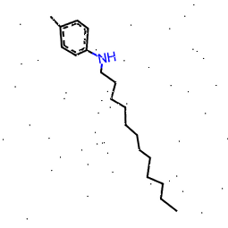 CCCCCCCCCCCCNc1ccc(C)cc1